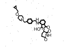 O=C1CCC(N2C(=O)c3cccc(NCc4ccc(CN5CCC(OCC6CC6)CC5)cc4)c3C2O)C(=O)N1